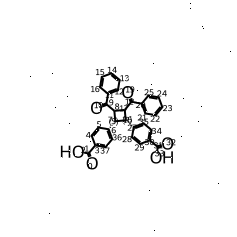 O=C(O)c1ccc([C@@H]2C(C(=O)c3ccccc3)C(C(=O)c3ccccc3)[C@@H]2c2ccc(C(=O)O)cc2)cc1